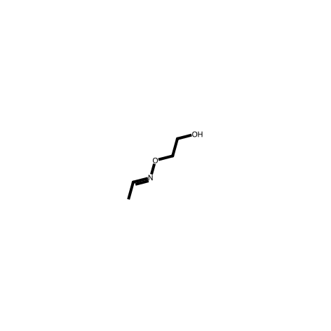 CC=NOCCO